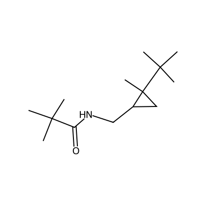 CC(C)(C)C(=O)NCC1CC1(C)C(C)(C)C